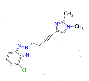 Cc1nc(C#CCCn2nc3cccc(Cl)c3n2)cn1C